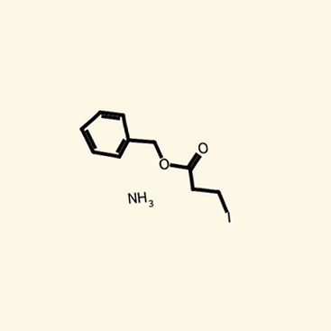 N.O=C(CCI)OCc1ccccc1